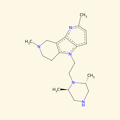 Cc1ccc2c(n1)c1c(n2CCN2[C@H](C)CNC[C@H]2C)CCN(C)C1